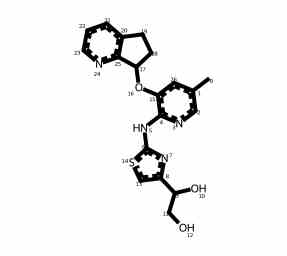 Cc1cnc(Nc2nc(C(O)CO)cs2)c(OC2CCc3cccnc32)c1